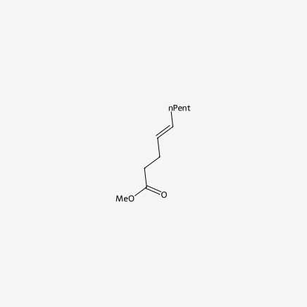 CCCCCC=CCCC(=O)OC